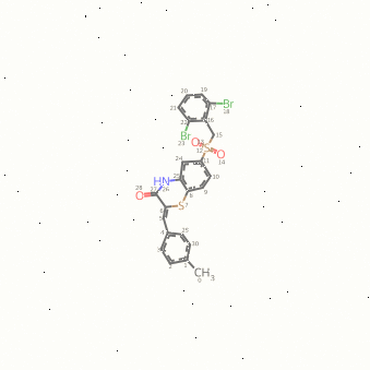 Cc1ccc(/C=C2\Sc3ccc(S(=O)(=O)Cc4c(Br)cccc4Br)cc3NC2=O)cc1